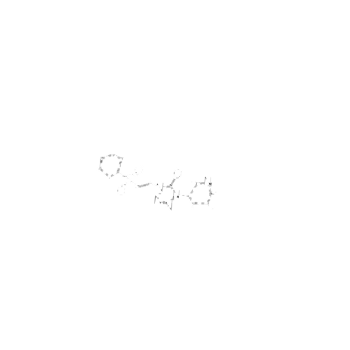 O=c1n(C=CS(=O)(=O)c2ccccc2)nnn1-c1cccnc1